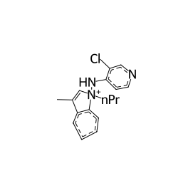 CCC[N+]1(Nc2ccncc2Cl)C=C(C)c2ccccc21